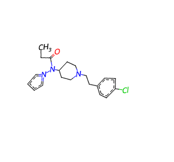 CCC(=O)N(C1CCN(CCc2ccc(Cl)cc2)CC1)n1cccc1